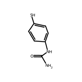 NC(=O)Nc1ccc(S)cc1